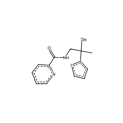 CC(O)(CNC(=O)c1ccccn1)c1cccs1